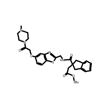 CN1CCN(C(=O)COc2ccc3sc(CNC(=O)C4(CC(=O)OC(C)(C)C)Cc5ccccc5C4)nc3c2)CC1